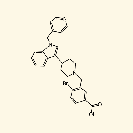 O=C(O)c1ccc(Br)c(CN2CCC(c3cn(Cc4ccncc4)c4ccccc34)CC2)c1